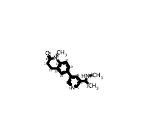 CNC(C)c1cncc(-c2ccc3c(c2)CCC(=O)N3C)c1